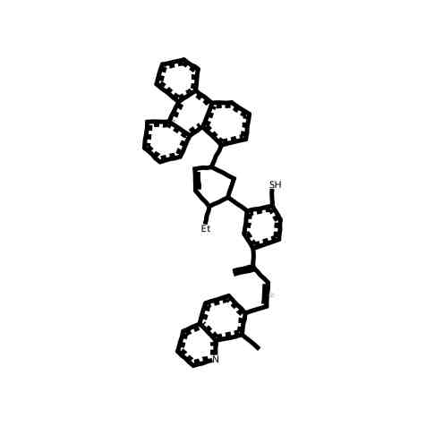 C=C(/C=C\c1ccc2cccnc2c1C)c1ccc(S)c(C2CC(c3cccc4c5ccccc5c5ccccc5c34)C=CC2CC)c1